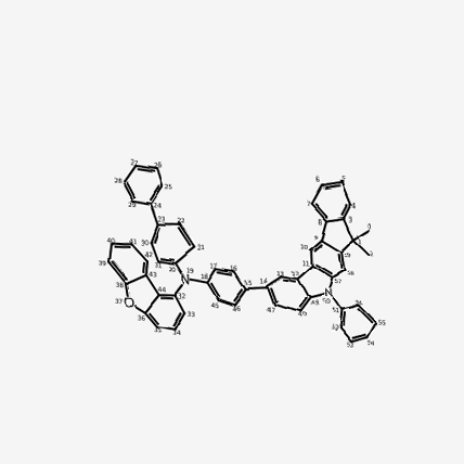 CC1(C)c2ccccc2-c2cc3c4cc(-c5ccc(N(c6ccc(-c7ccccc7)cc6)c6cccc7oc8ccccc8c67)cc5)ccc4n(-c4ccccc4)c3cc21